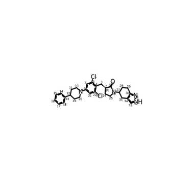 O=C1[C@H](Cc2c(Cl)cc(N3CCC(c4ccccc4)CC3)cc2Cl)CCN1C1CCc2n[nH]cc2C1